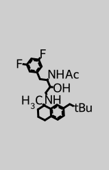 CC(=O)NC(Cc1cc(F)cc(F)c1)C(O)CNC1(C)CCCc2ccc(CC(C)(C)C)cc21